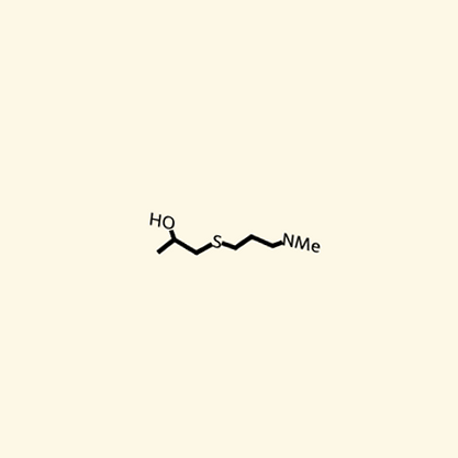 CNCCCSCC(C)O